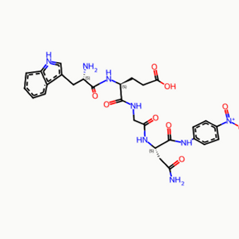 NC(=O)C[C@H](NC(=O)CNC(=O)[C@H](CCC(=O)O)NC(=O)[C@@H](N)Cc1c[nH]c2ccccc12)C(=O)Nc1ccc([N+](=O)[O-])cc1